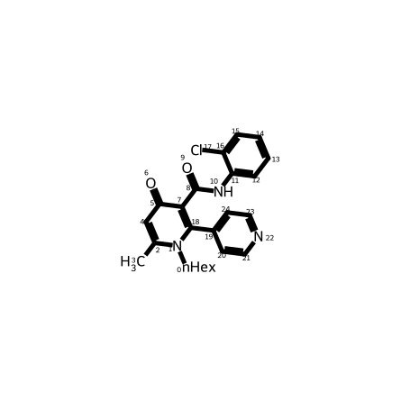 CCCCCCn1c(C)cc(=O)c(C(=O)Nc2ccccc2Cl)c1-c1ccncc1